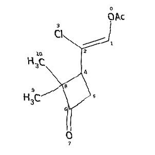 CC(=O)OC=C(Cl)C1CC(=O)C1(C)C